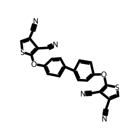 N#Cc1csc(Oc2ccc(-c3ccc(Oc4scc(C#N)c4C#N)cc3)cc2)c1C#N